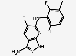 Cc1ccc(Cl)c(Nc2nc3[nH]nc(N)c3cc2F)c1F